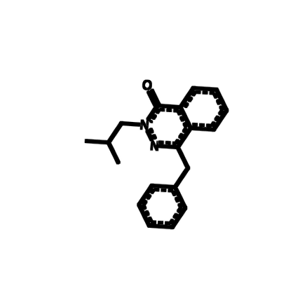 CC(C)Cn1nc(Cc2ccccc2)c2ccccc2c1=O